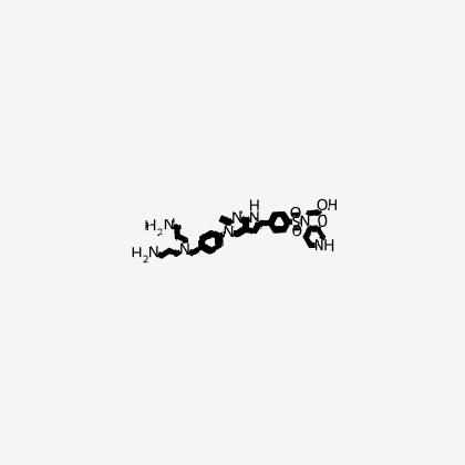 C=C1N=c2[nH]c(-c3ccc(S(=O)(=O)N(CC(=O)O)C4CCNCC4)cc3)cc2=CN1c1ccc(CN(CCCN)CCCN)cc1